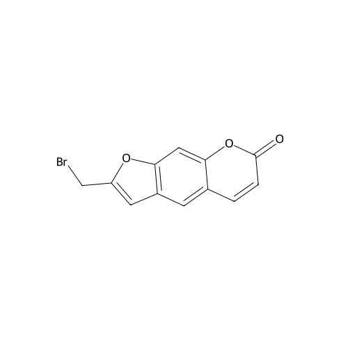 O=c1ccc2cc3cc(CBr)oc3cc2o1